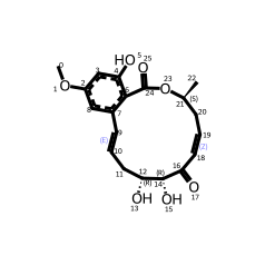 COc1cc(O)c2c(c1)/C=C/C[C@@H](O)[C@@H](O)C(=O)/C=C\C[C@H](C)OC2=O